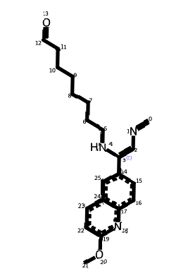 C=N/C=C(\NCCCCCCCC=O)c1ccc2nc(OC)ccc2c1